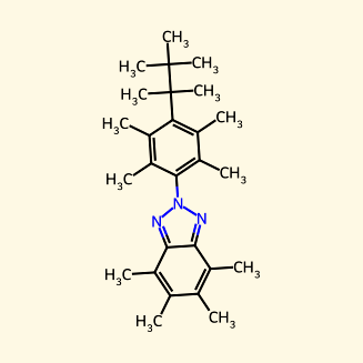 Cc1c(C)c(C(C)(C)C(C)(C)C)c(C)c(C)c1-n1nc2c(C)c(C)c(C)c(C)c2n1